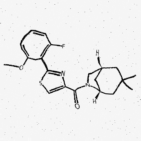 COc1cccc(F)c1-c1nc(C(=O)N2C[C@H]3C[C@@H]2CC(C)(C)C3)cs1